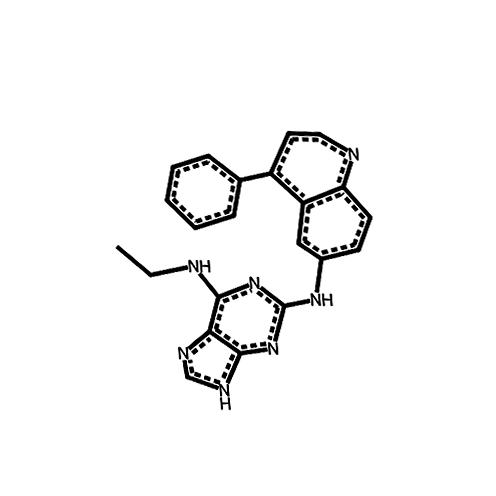 CCNc1nc(Nc2ccc3nccc(-c4ccccc4)c3c2)nc2[nH]cnc12